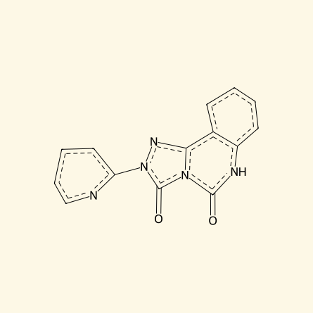 O=c1[nH]c2ccccc2c2nn(-c3ccccn3)c(=O)n12